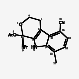 CCC[C@@]1(OC(C)=O)OCCc2c1[nH]c1c(C)ccc(C#N)c21